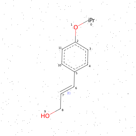 CC(C)Oc1ccc(/C=C/CO)cc1